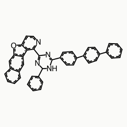 c1ccc(-c2ccc(-c3ccc(C4=NC(c5nccc6oc7cc8ccccc8cc7c56)=NC(c5ccccc5)N4)cc3)cc2)cc1